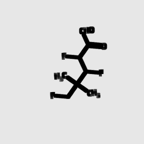 CC(C)(CF)C(F)C(F)C(=O)C=O